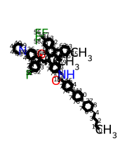 CCCCC[C@H]1CC[C@H](c2ccc(-c3ccc(C(=O)Nc4ccc(C5=CC(c6ccc(F)cc6)(c6ccc(N7CCCCC7)cc6)Oc6c5c5c(c7ccc(C(F)(F)F)cc67)-c6ccc(C)cc6C5(C)C)cc4)cc3)cc2)CC1